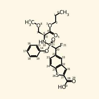 CCCOC(=O)[C@H](COC)NP(=O)(Oc1ccccc1)C(F)c1ccc2sc(C(=O)O)cc2c1